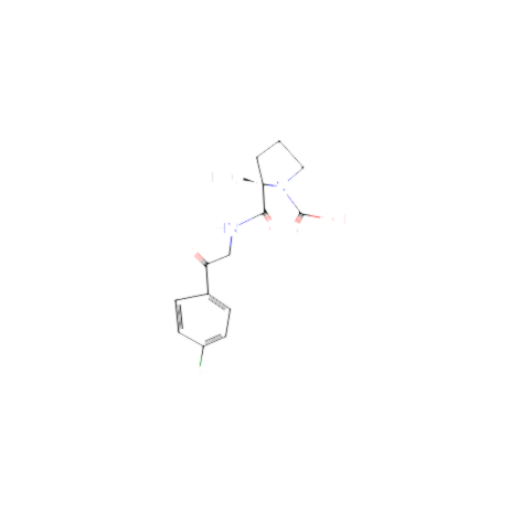 C[C@@]1(C(=O)NCC(=O)c2ccc(Br)cc2)CCCN1C(=O)O